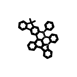 CC1(C)c2ccccc2-c2cc3c(cc21)N(c1ccccc1)B1c2ccccc2-n2c4ccccc4c4c5ccccc5c-3c1c42